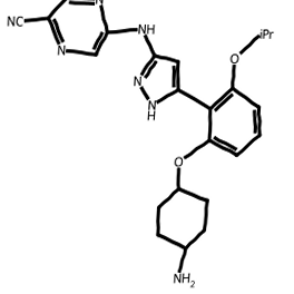 CC(C)Oc1cccc(OC2CCC(N)CC2)c1-c1cc(Nc2cnc(C#N)cn2)n[nH]1